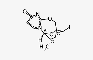 C[C@H]1C[C@@]2(CI)COc3nc(=O)ccn3[C@@H]1O2